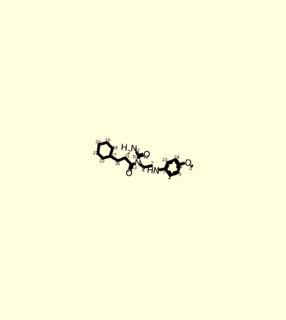 COc1ccc(NCCN(C(N)=O)C(=O)[CH]CC2CCCCC2)cc1